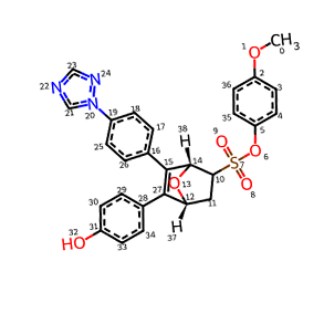 COc1ccc(OS(=O)(=O)C2C[C@H]3O[C@@H]2C(c2ccc(-n4cncn4)cc2)=C3c2ccc(O)cc2)cc1